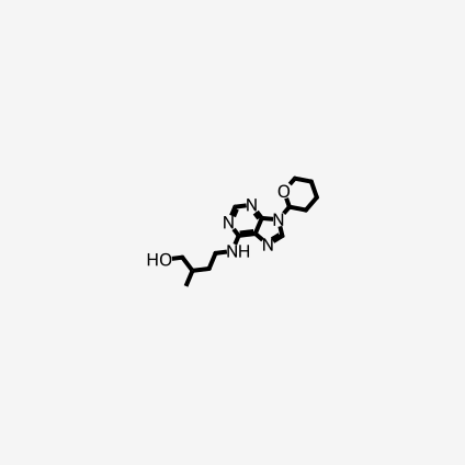 CC(CO)CCNc1ncnc2c1ncn2C1CCCCO1